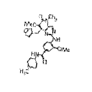 COc1cc(C(=O)NC2CCN(C)CC2)ccc1Nc1ncc2c(n1)c(CC1=CCOC1)c(OC)c(=O)n2C